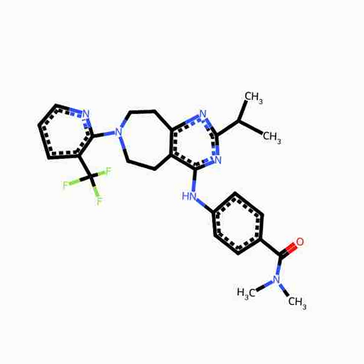 CC(C)c1nc2c(c(Nc3ccc(C(=O)N(C)C)cc3)n1)CCN(c1ncccc1C(F)(F)F)CC2